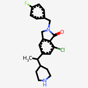 CC(c1cc(Cl)c2c(c1)CN(Cc1ccc(F)cc1)C2=O)C1CCNCC1